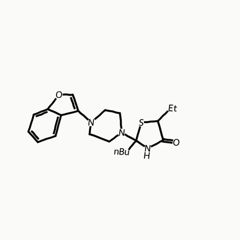 CCCCC1(N2CCN(c3coc4ccccc34)CC2)NC(=O)C(CC)S1